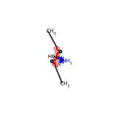 C#C[C@]1(COC(=O)c2ccccc2COC(=O)CCCCCCCCCCCCCCC)O[C@@H](n2cnc3c(N)nc(C)nc32)C[C@@H]1OC(=O)c1ccccc1COC(=O)CCCCCCCCCCCCCCC